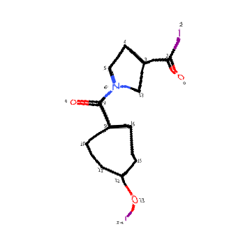 O=C(I)C1CCN(C(=O)C2CCC(OI)CC2)C1